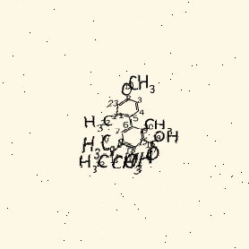 COc1ccc(-c2cc(C(C)(C)C)c(O)c(C(=O)O)c2C)c(C)c1